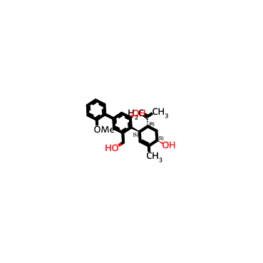 C=C(C)[C@@H]1C[C@H](O)C(C)=C[C@H]1c1c(O)cc(-c2ccccc2OC)cc1CO